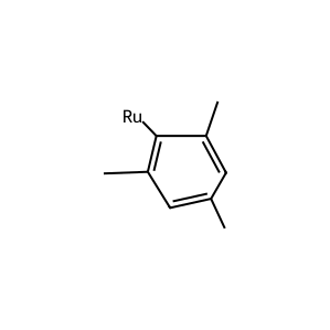 Cc1cc(C)[c]([Ru])c(C)c1